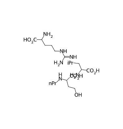 CC(C)CC(N)C(=O)O.CCCNC(CCO)C(=O)O.N=C(N)NCCCC(N)C(=O)O